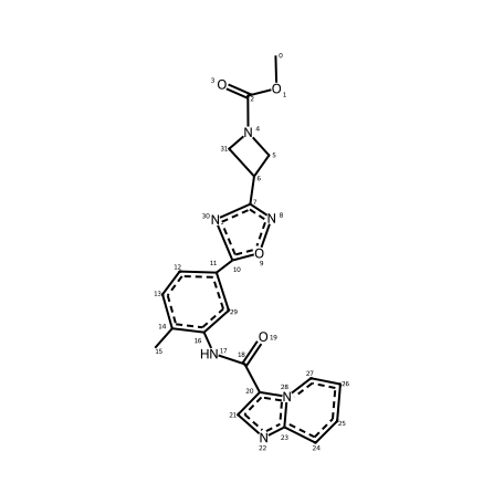 COC(=O)N1CC(c2noc(-c3ccc(C)c(NC(=O)c4cnc5ccccn45)c3)n2)C1